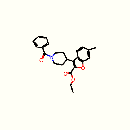 CCOC(=O)c1oc2cc(C)ccc2c1C1CCN(C(=O)c2ccccc2)CC1